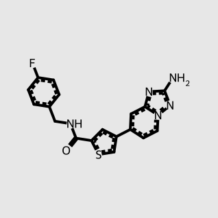 Nc1nc2cc(-c3csc(C(=O)NCc4ccc(F)cc4)c3)ccn2n1